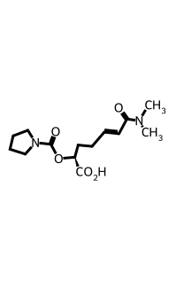 CN(C)C(=O)/C=C/CC[C@H](OC(=O)N1CCCC1)C(=O)O